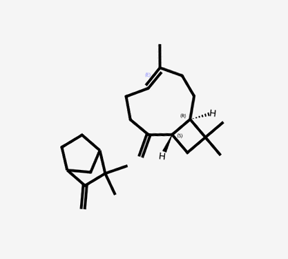 C=C1C2CCC(C2)C1(C)C.C=C1CC/C=C(\C)CC[C@@H]2[C@@H]1CC2(C)C